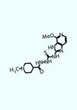 COc1nccc2nc(NC(=S)NNC(=O)C3CCN(C)CC3)[nH]c12